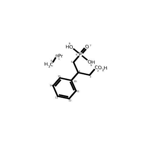 CCCC.O=C(O)CC(CP(=O)(O)O)c1ccccc1